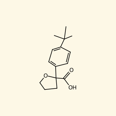 CC(C)(C)c1ccc(C2(C(=O)O)CCCO2)cc1